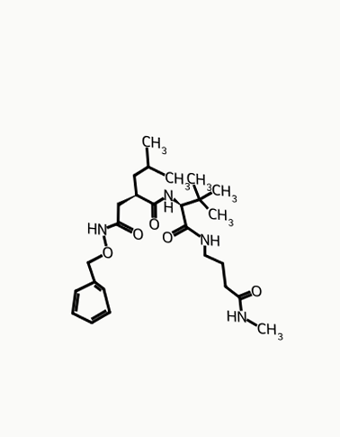 CNC(=O)CCCNC(=O)[C@@H](NC(=O)[C@@H](CC(=O)NOCc1ccccc1)CC(C)C)C(C)(C)C